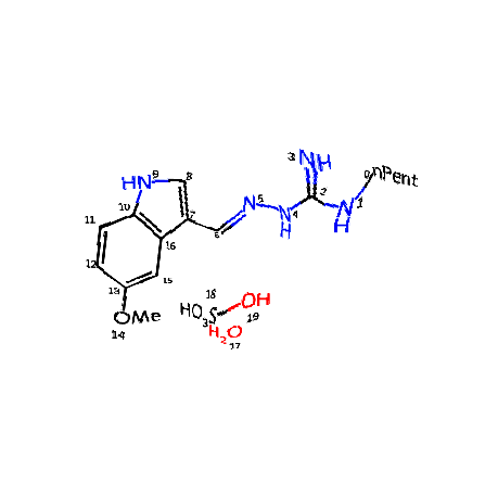 CCCCCNC(=N)N/N=C/c1c[nH]c2ccc(OC)cc12.O.O=S(=O)(O)O